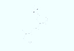 COCC(C)COCC(CN)CNS(C)(=O)=O